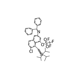 CC(C)[Si](C#Cc1c(Cl)ccc2cc(N=C(c3ccccc3)c3ccccc3)cc(OS(=O)(=O)C(F)(F)F)c12)(C(C)C)C(C)C